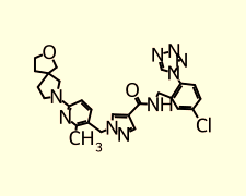 Cc1nc(N2CCC3(CCOC3)C2)ccc1Cn1cc(C(=O)NCc2cc(Cl)ccc2-n2cnnn2)cn1